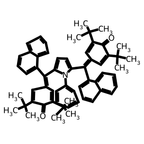 CC(C)(C)C1=CC(=C(c2cccc3ccccc23)c2ccc(C(=C3C=C(C(C)(C)C)C(=O)C(C(C)(C)C)=C3)c3cccc4ccccc34)n2-c2ccccc2)C=C(C(C)(C)C)C1=O